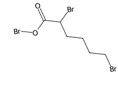 O=C(OBr)C(Br)CCCCBr